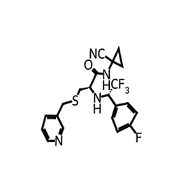 N#CC1(NC(=O)[C@H](CSCc2cccnc2)N[C@@H](c2ccc(F)cc2)C(F)(F)F)CC1